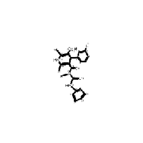 CC1=C(C(=O)O)C(c2cccc(Cl)c2)C(C(=O)N(C)C(=O)Nc2ccccc2)=C(C)N1